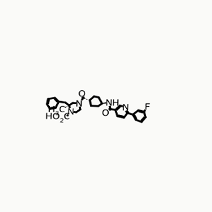 C[C@]1(Cc2ccccc2)CN(C(=O)[C@H]2CC[C@H](NC(=O)c3ccc(-c4cccc(F)c4)nc3)CC2)CCN1C(=O)O